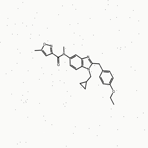 CCOc1ccc(Cc2nc3cc(N(C)C(=O)c4cc(C)on4)ccc3n2CC2CC2)cc1